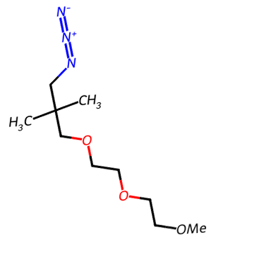 COCCOCCOCC(C)(C)CN=[N+]=[N-]